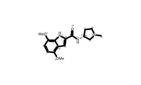 COc1ccc(OC)c2[nH]c(C(=O)N[C@@H]3CCN(C)C3)cc12